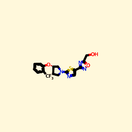 OCc1nc(-c2cnc(N3CC[C@H](Oc4ccccc4C(F)(F)F)C3)s2)no1